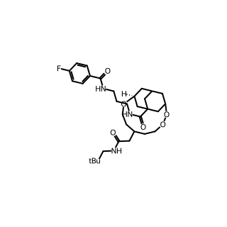 CC(C)(C)CNC(=O)CC1CCOOC2CC3C[C@@H](CC(C(=O)NCCCNC(=O)c4ccc(F)cc4)(C3)C2)OCC1